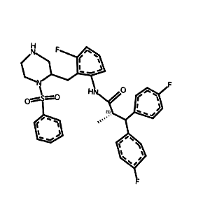 C[C@H](C(=O)Nc1cccc(F)c1CC1CNCCN1S(=O)(=O)c1ccccc1)C(c1ccc(F)cc1)c1ccc(F)cc1